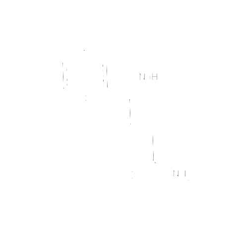 Cc1ccc(CCCC(N)=O)cc1.[NaH]